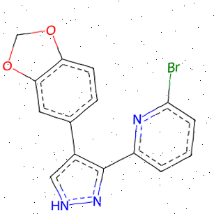 Brc1cccc(-c2n[nH]cc2-c2ccc3c(c2)OCO3)n1